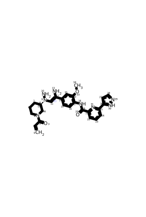 C=CC(=O)N1CCC[C@H](N(N)/C=C(\N)c2ccc(NC(=O)c3cccc(-c4ccn[nH]4)n3)c(OC)c2)C1